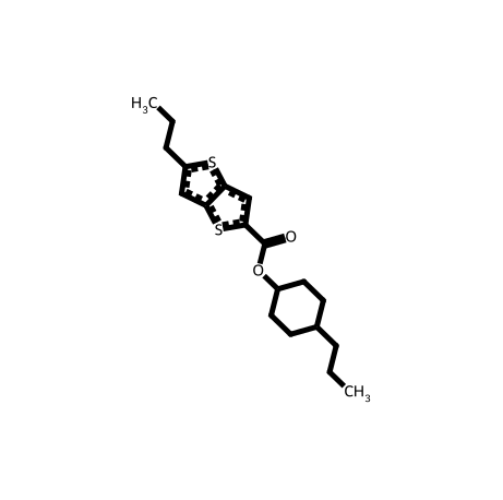 CCCc1cc2sc(C(=O)OC3CCC(CCC)CC3)cc2s1